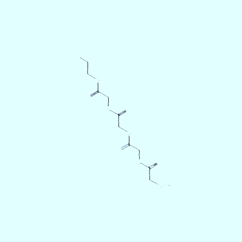 CNCC(=O)NCC(=O)NCC(=O)NCC(=O)NCCO